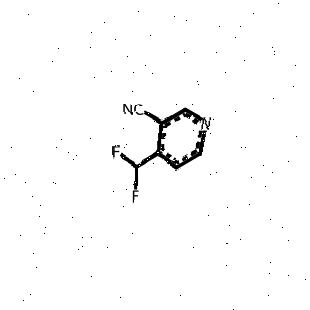 N#Cc1cnccc1C(F)F